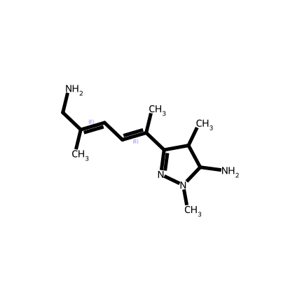 C/C(=C\C=C(/C)C1=NN(C)C(N)C1C)CN